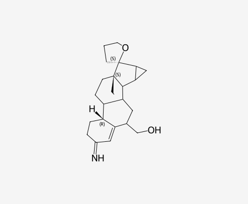 CC[C@]12CCC3C(CC(CO)C4=CC(=N)CC[C@@H]43)C1C1CC1[C@@]21CCCO1